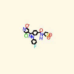 COc1cc(-c2nn(-c3ccc(F)cc3)c3cc(C(=O)NC4CCS(=O)(=O)C4)ccc23)c(Cl)cn1